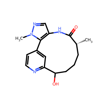 C[C@@H]1CCCC(O)c2cc(ccn2)-c2c(cnn2C)NC1=O